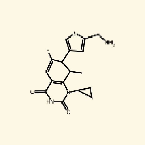 CC1c2c(c(=O)[nH]c(=O)n2C2CC2)C=C(F)C1c1csc(CN)c1